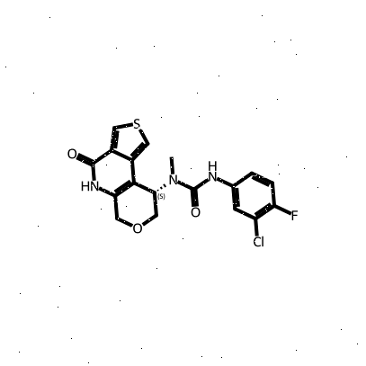 CN(C(=O)Nc1ccc(F)c(Cl)c1)[C@@H]1COCc2[nH]c(=O)c3cscc3c21